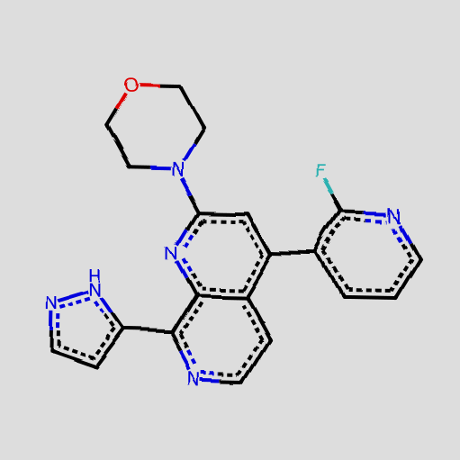 Fc1ncccc1-c1cc(N2CCOCC2)nc2c(-c3ccn[nH]3)nccc12